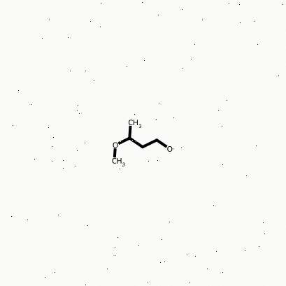 COC(C)CC[O]